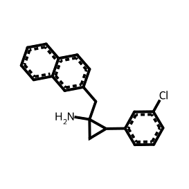 NC1(Cc2ccc3ccccc3c2)CC1c1cccc(Cl)c1